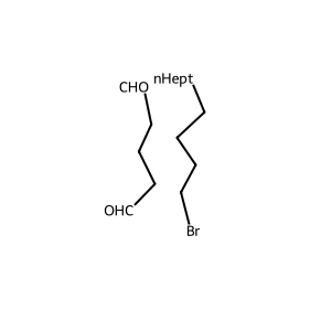 CCCCCCCCCCCBr.O=CCCCC=O